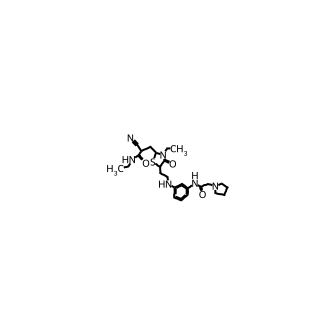 CCNC(=O)C(C#N)CC1SC(CCNc2cccc(NC(=O)CN3CCCC3)c2)C(=O)N1CC